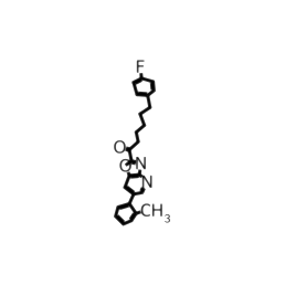 Cc1ccccc1-c1cnc2nc(C(=O)CCCCCc3ccc(F)cc3)oc2c1